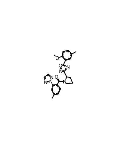 COc1ccc(C)cc1-c1nc(C2CCCN2C(=O)c2ccc(C)cc2-n2nccn2)no1